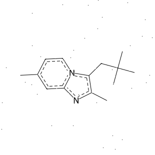 Cc1ccn2c(CC(C)(C)C)c(C)nc2c1